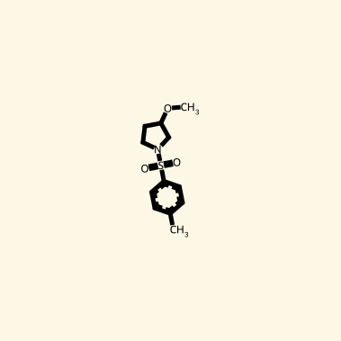 COC1CCN(S(=O)(=O)c2ccc(C)cc2)C1